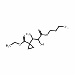 CCCCOC(=O)C(O)C(N)C1(C(=O)OCC)CC1